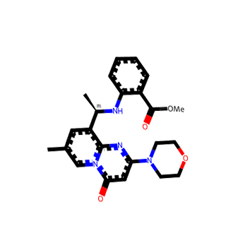 COC(=O)c1ccccc1N[C@H](C)c1cc(C)cn2c(=O)cc(N3CCOCC3)nc12